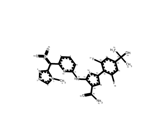 Cn1cnnc1C(c1cccc(Nc2sc(-c3c(F)cc(C(C)(C)O)cc3F)cc2C(N)=O)n1)=S(=O)=O